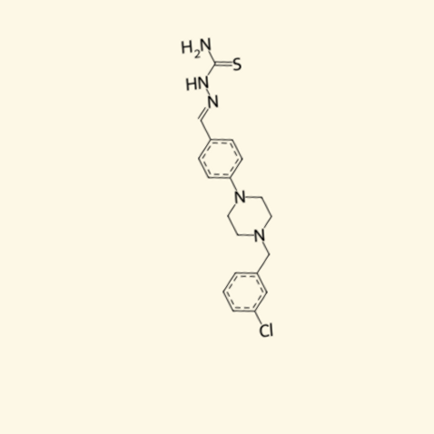 NC(=S)N/N=C/c1ccc(N2CCN(Cc3cccc(Cl)c3)CC2)cc1